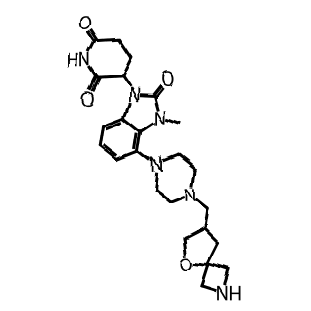 Cn1c(=O)n(C2CCC(=O)NC2=O)c2cccc(N3CCN(CC4COC5(CNC5)C4)CC3)c21